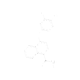 CNC(=O)c1ccc(Sc2ccc(Cl)c(Cl)c2)c2ccccc12